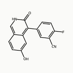 N#Cc1cc(-c2c(=O)[nH]cc3ccc(O)cc23)ccc1F